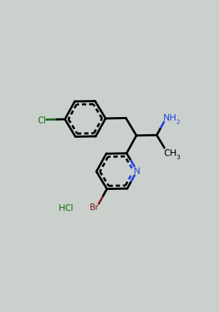 CC(N)C(Cc1ccc(Cl)cc1)c1ccc(Br)cn1.Cl